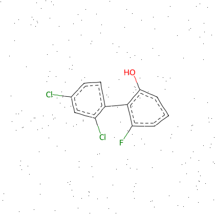 Oc1cccc(F)c1-c1ccc(Cl)cc1Cl